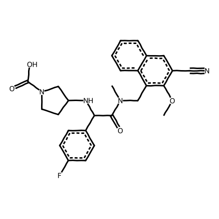 COc1c(C#N)cc2ccccc2c1CN(C)C(=O)C(NC1CCN(C(=O)O)C1)c1ccc(F)cc1